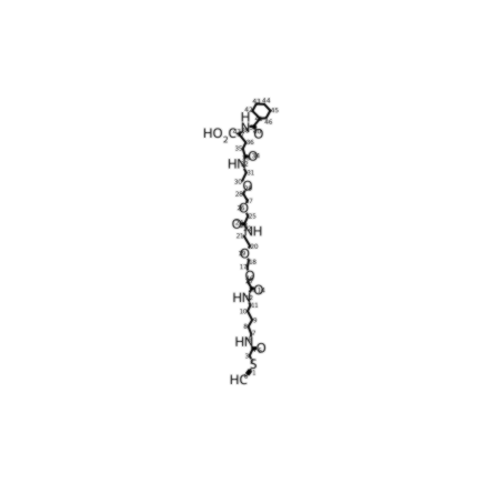 C#CSCC(=O)NCCCCCNC(=O)COCCOCCNC(=O)COCCOCCNC(=O)CC[C@H](NC(=O)C1CCCCC1)C(=O)O